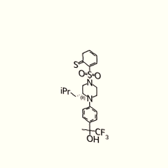 CC(C)C[C@@H]1CN(S(=O)(=O)C2=CC=CCC2=S)CCN1c1ccc(C(C)(O)C(F)(F)F)cc1